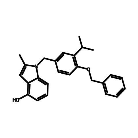 Cc1cc2c(O)cccc2n1Cc1ccc(OCc2ccccc2)c(C(C)C)c1